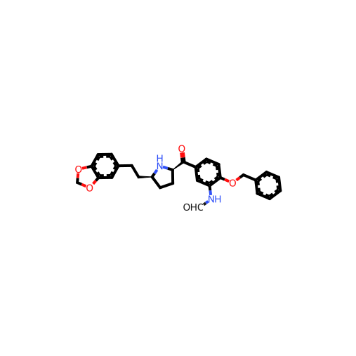 O=CNc1cc(C(=O)[C@H]2CC[C@@H](CCc3ccc4c(c3)OCO4)N2)ccc1OCc1ccccc1